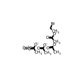 CC(=O)[O-].CC(=O)[O-].CC(=O)[O-].CC(=O)[O-].CCBr.[Co+2].[Mn+2]